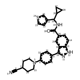 N#CC1CCN(c2ccc(-c3n[nH]c4ccc(C(=O)NC(c5ccsc5)C5CC5)cc34)cc2)CC1